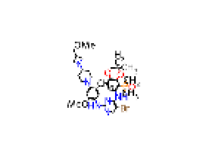 COCC1CN(C2CCN(c3cc(OC)c(Nc4ncc(Br)c(Nc5ccc6c(c5P(C)(C)=O)OC(C)(C)CO6)n4)cc3C)CC2)C1